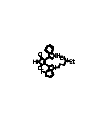 CCN(CC)CCCn1cc(C2=C(c3c[nH]c4ccccc34)C(=O)NC2=O)c2c(F)cccc21